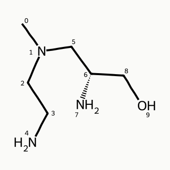 CN(CCN)C[C@@H](N)CO